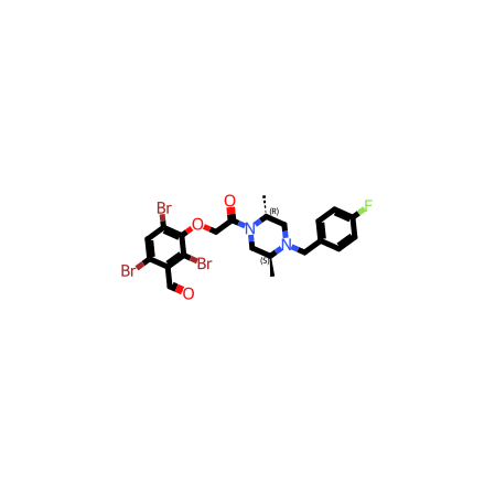 C[C@@H]1CN(Cc2ccc(F)cc2)[C@@H](C)CN1C(=O)COc1c(Br)cc(Br)c(C=O)c1Br